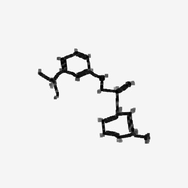 CN(C)c1cccc(OCC(=O)c2cccc(Cl)c2)c1